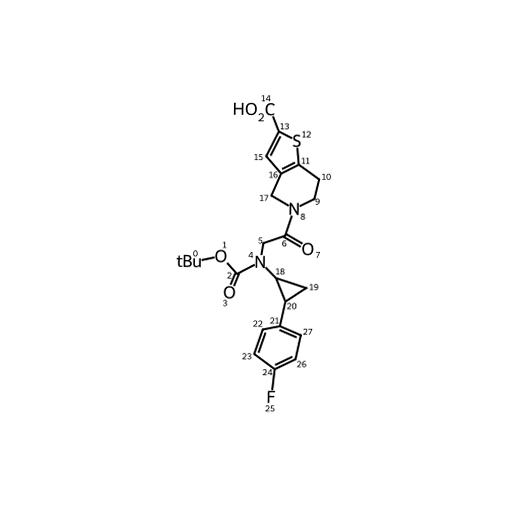 CC(C)(C)OC(=O)N(CC(=O)N1CCc2sc(C(=O)O)cc2C1)C1CC1c1ccc(F)cc1